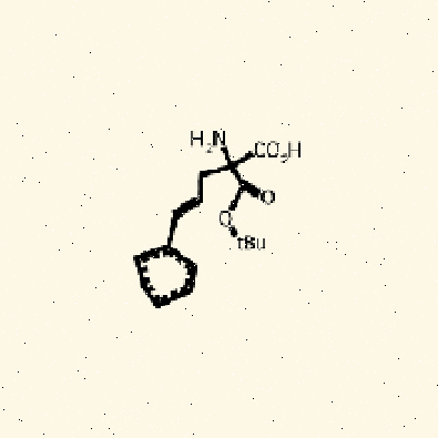 CC(C)(C)OC(=O)C(N)(CC=Cc1ccccc1)C(=O)O